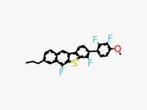 CCCc1ccc2cc3c(sc4c(F)c(-c5ccc(OC)c(F)c5F)ccc43)c(F)c2c1